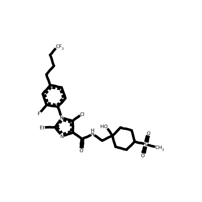 CCc1nc(C(=O)NCC2(O)CCC(S(C)(=O)=O)CC2)c(Cl)n1-c1ccc(CCCC(F)(F)F)cc1F